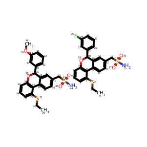 CCSc1cccc2c1-c1ccc(CS(N)(=O)=O)cc1C(c1cccc(F)c1)O2.CCSc1cccc2c1-c1ccc(CS(N)(=O)=O)cc1C(c1cccc(OC)c1)O2